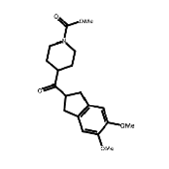 COC(=O)N1CCC(C(=O)C2Cc3cc(OC)c(OC)cc3C2)CC1